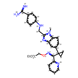 CCOC(=O)CON=C(c1ccccn1)C1(c2ccc3c(c2)nc(CNc2ccc(C(=N)N)cc2)n3C)CC1